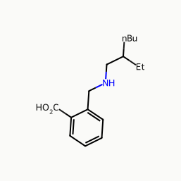 CCCCC(CC)CNCc1ccccc1C(=O)O